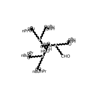 CCCCC(CCC)OC(=O)CCCCCCCCN(CCCCCCCCC=O)CCCNC(=O)c1cc(C(=O)NCCCN(CCCCCCCCC(=O)OC(CCC)CCCC)CCCCCCCCC(=O)OC(CCC)CCCC)cc(C(=O)NCCCN(CCCCCCCCC(=O)OC(CCC)CCCC)CCCCCCCCC(=O)OC(CCC)CCCC)c1